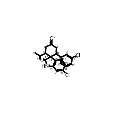 C=C(C)C1CC(=O)CC(c2cccc(Cl)c2)C12C(=O)Nc1cc(Cl)ccc12